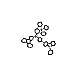 c1ccc(-n2c3ccccc3c3cc(-c4ccc(N(c5ccc6c(c5)C(c5ccccc5)(c5ccccc5)c5ccccc5-6)c5ccc6c7ccccc7c7ccccc7c6c5)cc4)ccc32)cc1